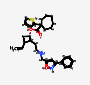 C=CC1C[C@H](OC(=O)C2(c3cccs3)CCCCCC2)C1CCNCc1cc(-c2ccccc2)no1